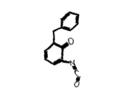 O=C=NC1=CC=CC(Cc2ccccc2)C1=O